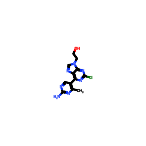 Cc1nc(N)ncc1-c1nc(Cl)nc2c1ncn2CCO